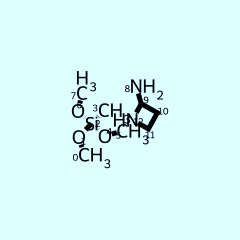 CO[Si](C)(OC)OC.NC1CCN1